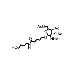 CC(=O)NC1[C@H](OCCCCC(=O)NCCCCO)OC(COC(C)=O)[C@H](OC(C)=O)[C@@H]1OC(C)=O